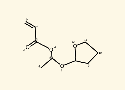 C=CC(=O)OC(C)OC1CCCO1